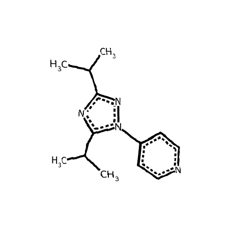 CC(C)c1nc(C(C)C)n(-c2ccncc2)n1